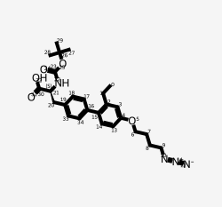 CCc1cc(OCCCCN=[N+]=[N-])ccc1-c1ccc(C[C@H](NC(=O)OC(C)(C)C)C(=O)O)cc1